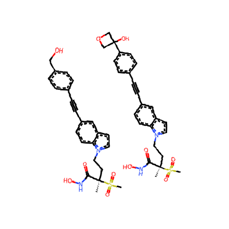 C[C@@](CCn1ccc2cc(C#Cc3ccc(C4(O)COC4)cc3)ccc21)(C(=O)NO)S(C)(=O)=O.C[C@@](CCn1ccc2cc(C#Cc3ccc(CO)cc3)ccc21)(C(=O)NO)S(C)(=O)=O